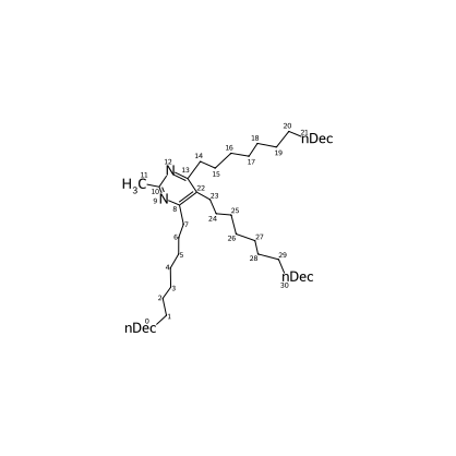 CCCCCCCCCCCCCCCCCc1nc(C)nc(CCCCCCCCCCCCCCCCC)c1CCCCCCCCCCCCCCCCC